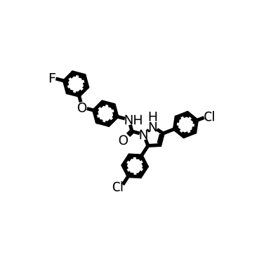 O=C(Nc1ccc(Oc2cccc(F)c2)cc1)N1NC(c2ccc(Cl)cc2)=CC1c1ccc(Cl)cc1